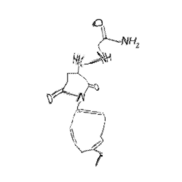 NC(=O)NNC1CC(=O)N(c2ccc(F)cc2)C1=O